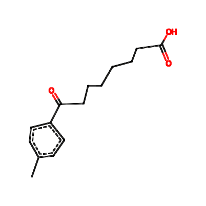 Cc1ccc(C(=O)CCCCCCC(=O)O)cc1